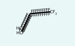 OC(F)(F)C(O)(F)C(F)(F)C(F)(F)C(F)(F)C(F)(F)C(F)(F)C(F)(F)C(F)(F)CC(F)(F)C(F)(F)C(F)(F)C(F)(F)C(F)(F)C(F)(F)C(F)(F)C(F)(F)C(F)(F)C(F)(F)F